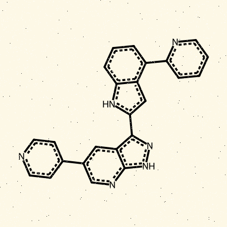 c1ccc(-c2cccc3[nH]c(-c4n[nH]c5ncc(-c6ccncc6)cc45)cc23)nc1